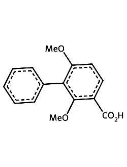 COc1ccc(C(=O)O)c(OC)c1-c1ccccc1